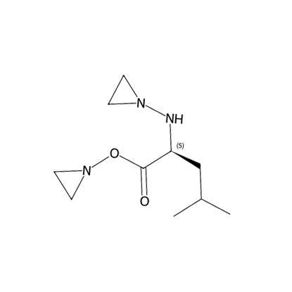 CC(C)C[C@H](NN1CC1)C(=O)ON1CC1